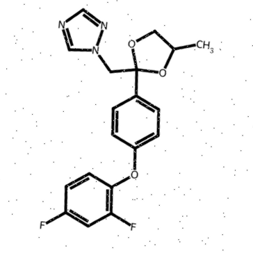 CC1COC(Cn2cncn2)(c2ccc(Oc3ccc(F)cc3F)cc2)O1